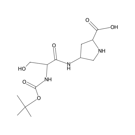 CC(C)(C)OC(=O)NC(CO)C(=O)NC1CNC(C(=O)O)C1